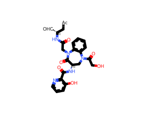 CC(=O)C[C@@H](C=O)NC(=O)CN1C(=O)[C@@H](NC(=O)c2ncccc2O)CN(C(=O)CO)c2ccccc21